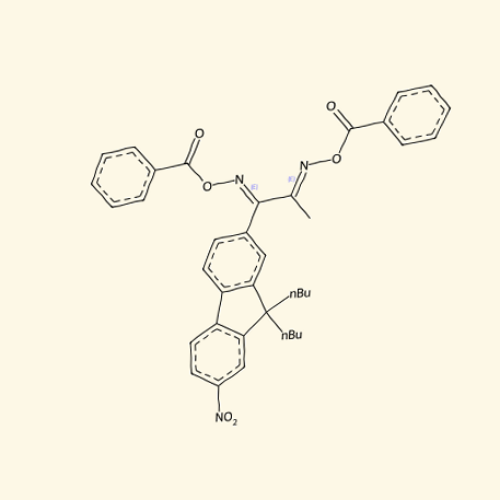 CCCCC1(CCCC)c2cc(C(=N\OC(=O)c3ccccc3)/C(C)=N/OC(=O)c3ccccc3)ccc2-c2ccc([N+](=O)[O-])cc21